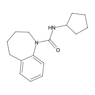 O=C(NC1CCCC1)N1CCCCc2ccccc21